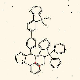 CC1(C)c2ccccc2C2=CC=C(c3ccc(N(c4ccccc4-c4ccccc4)c4cccc5c4-c4ccccc4C5(c4ccccc4)c4ccccc4)cc3)CC21